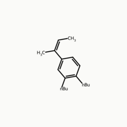 C/C=C(/C)c1ccc(CCCC)c(CCCC)c1